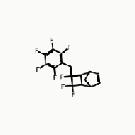 Fc1c(F)c(F)c(CC2(F)C3C4C=CC(C4)C3C2(F)F)c(F)c1F